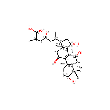 C[C@H](CC(=O)C[C@@H](C)[C@H]1C[C@H](O)[C@@]2(C)C3=C(C(=O)C[C@]12C)[C@@]1(C)CC[C@H](O)C(C)(C)[C@@H]1C[C@@H]3O)C(=O)O